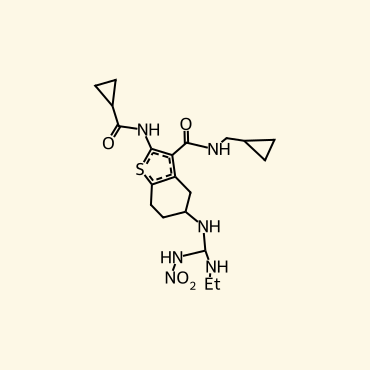 CCNC(NC1CCc2sc(NC(=O)C3CC3)c(C(=O)NCC3CC3)c2C1)N[N+](=O)[O-]